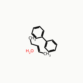 CC=CCC.O.c1ccc(-c2ccccc2)cc1